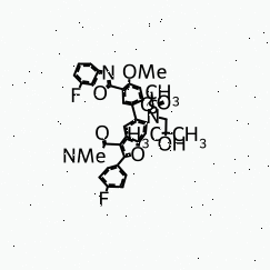 CNC(=O)c1c(-c2ccc(F)cc2)oc2cc(N(CC(C)(C)O)S(C)(=O)=O)c(-c3ccc(OC)c(-c4nc5cccc(F)c5o4)c3)cc12